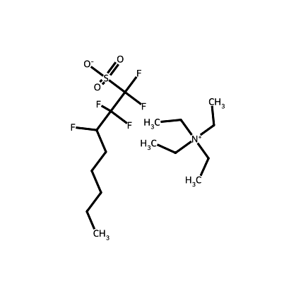 CCCCCC(F)C(F)(F)C(F)(F)S(=O)(=O)[O-].CC[N+](CC)(CC)CC